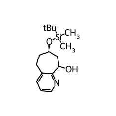 CC(C)(C)[Si](C)(C)O[C@@H]1CCc2cccnc2C(O)C1